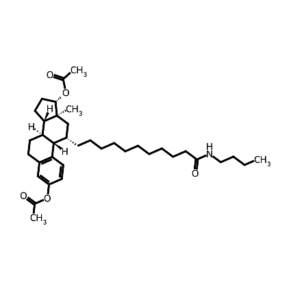 CCCCNC(=O)CCCCCCCCCC[C@H]1C[C@]2(C)[C@@H](OC(C)=O)CC[C@H]2[C@@H]2CCc3cc(OC(C)=O)ccc3[C@@H]12